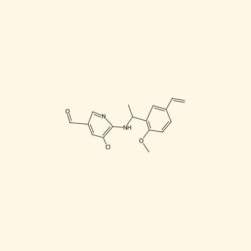 C=Cc1ccc(OC)c(C(C)Nc2ncc(C=O)cc2Cl)c1